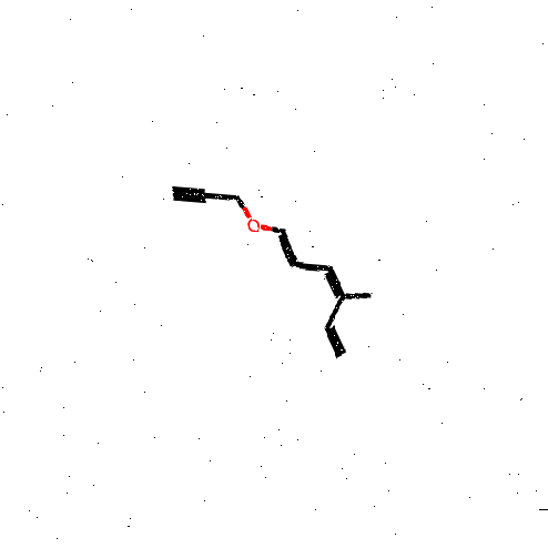 C#CCO/C=C/C=C(/C)C=C